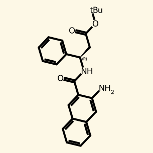 CC(C)(C)OC(=O)C[C@@H](NC(=O)c1cc2ccccc2cc1N)c1ccccc1